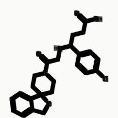 O=C(O)CCC(NCC(=O)N1CCC2(CC1)OCc1ccccc12)c1ccc(Cl)cc1